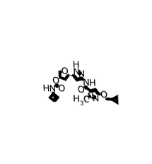 Cn1nc(OCC2CC2)cc1C(=O)Nc1cc([C@@H]2C[C@H](OC(=O)NC34CC(C3)C4)CO2)[nH]n1